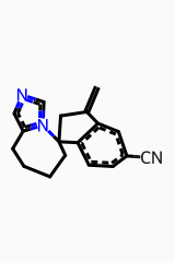 C=C1CC2(CCCCc3cncn32)c2ccc(C#N)cc21